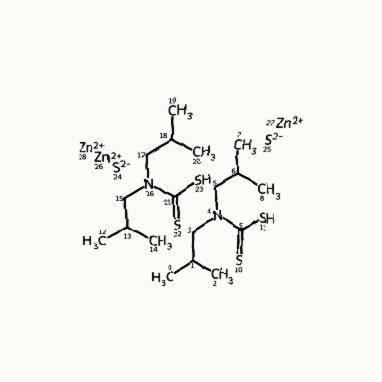 CC(C)CN(CC(C)C)C(=S)S.CC(C)CN(CC(C)C)C(=S)S.[S-2].[S-2].[Zn+2].[Zn+2].[Zn+2]